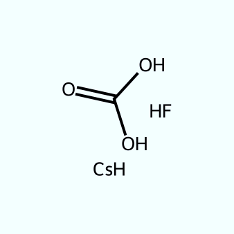 F.O=C(O)O.[CsH]